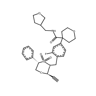 C#C[C@H]1CC[C@H](c2ccccc2)S(=O)(=O)N1Cc1ccc(C2(C(=O)NCC3CCOC3)CCOCC2)cc1F